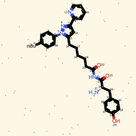 CCCCc1ccc(-n2nc(-c3ccccn3)cc2CCCCCC(=O)NC(=O)[C@@H](N)Cc2ccc(O)cc2)cc1